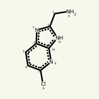 NCc1nc2ccc(Cl)nc2[nH]1